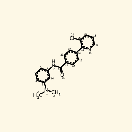 CN(C)c1cccc(NC(=O)c2ccc(-c3ncccc3Cl)cc2)c1